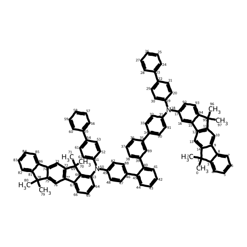 CC1(C)c2ccccc2-c2cc3c(cc21)-c1cc(N(c2ccc(-c4ccccc4)cc2)c2ccc(-c4cccc(-c5ccccc5-c5ccc(N(c6ccc(-c7ccccc7)cc6)c6cccc7c6C(C)(C)c6cc8c(cc6-7)C(C)(C)c6ccccc6-8)cc5)c4)cc2)ccc1C3(C)C